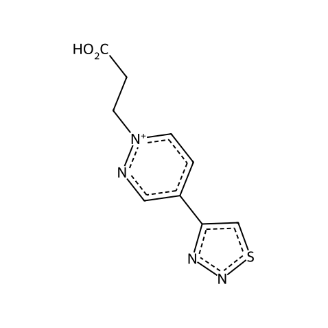 O=C(O)CC[n+]1ccc(-c2csnn2)cn1